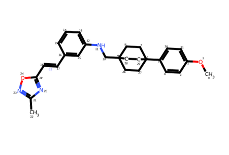 COc1ccc(C23CCC(CNc4cccc(/C=C/c5nc(C)no5)c4)(CC2)CC3)cc1